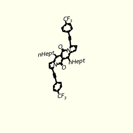 CCCCCCCc1c2c(=O)n3c(C#Cc4ccc(C(F)(F)F)cc4)ccc3c(CCCCCCC)c2c(=O)n2c(C#Cc3ccc(C(F)(F)F)cc3)ccc12